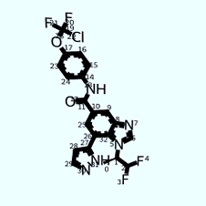 C[C@H](C(F)F)n1cnc2cc(C(=O)Nc3ccc(OC(F)(F)Cl)cc3)cc(-c3ccn[nH]3)c21